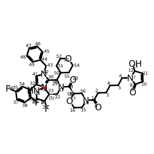 O=C(CCCCCN1C(=O)C=CC1O)N1CCO[C@@H](C(=O)N(C[C@@H]2CNC[C@@H]2F)[C@@H](c2nc(-c3cc(F)ccc3F)cn2Cc2ccccc2)C2CCOCC2)C1